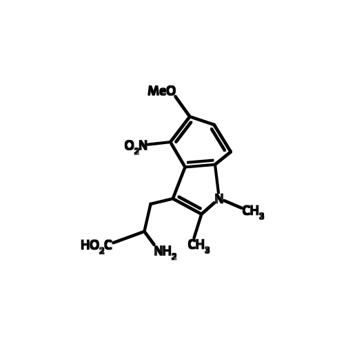 COc1ccc2c(c(CC(N)C(=O)O)c(C)n2C)c1[N+](=O)[O-]